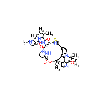 CCn1c(-c2cccnc2[C@H](C)OC)c2c3cc(ccc31)-c1csc(n1)C[C@H](NC(=O)[C@H](C(C)C)N(C)C(=O)[C@H]1CCN(C)C1)C(=O)N1CCC[C@H](N1)C(=O)OCC(C)(C)C2